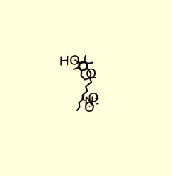 CCC/C(=C/CCCC1(C)CCc2c(C)c(O)c(C)c(C)c2O1)[N+](=O)[O-]